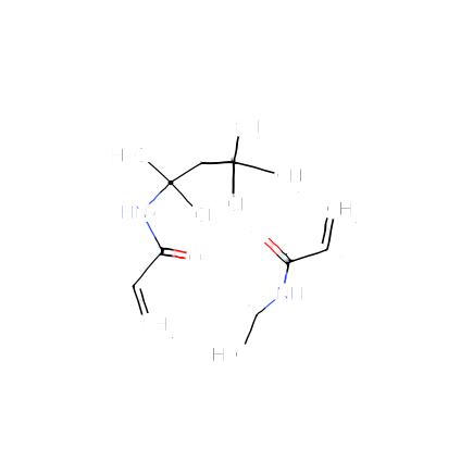 C=CC(=O)NC(C)(C)CC(C)(C)C.C=CC(=O)NCC